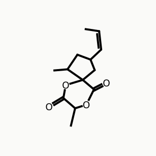 C/C=C\C1CC(C)C2(C1)OC(=O)C(C)OC2=O